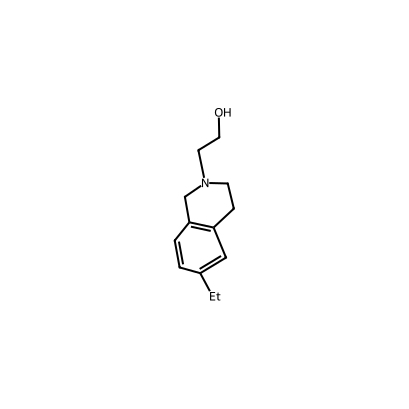 CCc1ccc2c(c1)CCN(CCO)C2